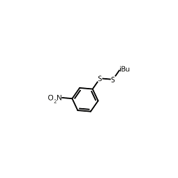 CCC(C)SSc1cccc([N+](=O)[O-])c1